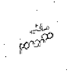 CN(CCO)C(=O)c1cc(C2CN(Cc3ccc4[nH]ccc4c3)CCO2)nc2ccccc12